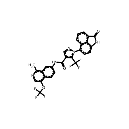 Cc1ncc(OC(F)(F)F)c2ccc(NC(=O)c3cnn(-c4ccc5c6c(cccc46)C(=O)N5)c3C(F)(F)F)cc12